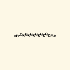 CCCOOOOOOOOOOOOC